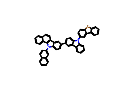 c1ccc2cc(-n3c4ccc(-c5ccc6c(c5)c5ccccc5n6-c5ccc6sc7ccccc7c6c5)cc4c4ccc5ccccc5c43)ccc2c1